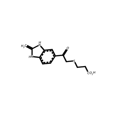 C=C1Nc2ccc(C(=O)CSCCC(=O)O)cc2N1